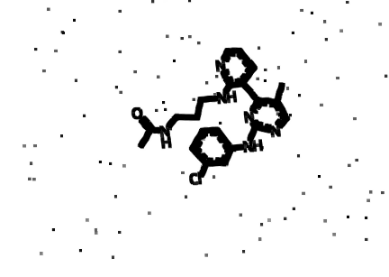 CC(=O)NCCCNc1ncccc1-c1nc(Nc2cccc(Cl)c2)ncc1C